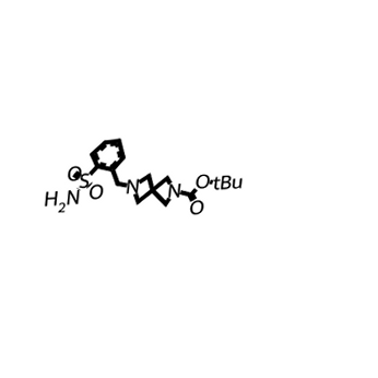 CC(C)(C)OC(=O)N1CC2(CN(Cc3ccccc3S(N)(=O)=O)C2)C1